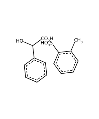 Cc1ccccc1S(=O)(=O)O.O=C(O)C(O)c1ccccc1